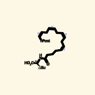 CCCCC/C=C\C/C=C\C/C=C\C/C=C\CCCC(=O)N[C@H](C(=O)O)[C@@H](C)CC